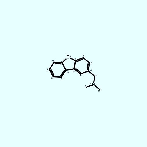 CN(C)Cc1ccc2oc3ccccc3c2c1